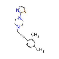 Cc1ccc(C#CCN2CCN(c3nccs3)CC2)c(C)c1